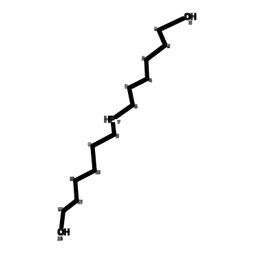 OCCCCCCPCCCCCCO